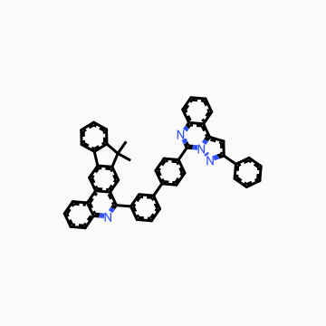 CC1(C)c2ccccc2-c2cc3c(cc21)c(-c1cccc(-c2ccc(-c4nc5ccccc5c5cc(-c6ccccc6)nn45)cc2)c1)nc1ccccc13